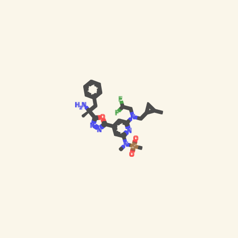 CC1CC1CN(CC(F)F)c1cc(-c2nnc([C@](C)(N)Cc3ccccc3)o2)cc(N(C)S(C)(=O)=O)n1